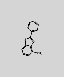 Cc1cccc2sc(-c3ccccc3)cc12